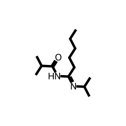 CCCCC/C(=N\C(C)C)NC(=O)C(C)C